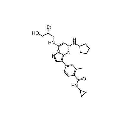 CCC(CO)CNc1cc(NC2CCCC2)nc2c(-c3ccc(C(=O)NC4CC4)c(C)c3)cnn12